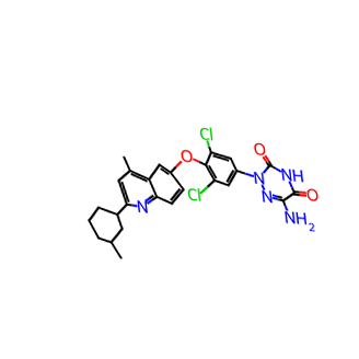 Cc1cc(C2CCCC(C)C2)nc2ccc(Oc3c(Cl)cc(-n4nc(N)c(=O)[nH]c4=O)cc3Cl)cc12